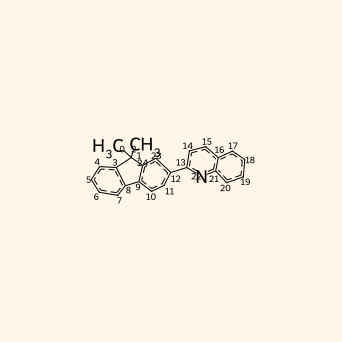 CC1(C)c2ccccc2-c2ccc(-c3ccc4ccccc4n3)cc21